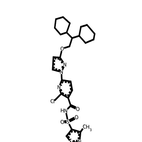 Cc1c(S(=O)(=O)NC(=O)c2ccc(-n3ccc(OCC(C4CCCCC4)C4CCCCC4)n3)nc2Cl)cnn1C